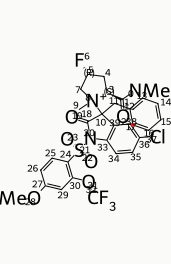 CNC(=O)[C@@H]1C[C@@H](F)C[N+]1(C)C1(Cc2ccccc2)C(=O)N(S(=O)(=O)c2ccc(OC)cc2OC(F)(F)F)c2ccc(Cl)cc21